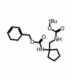 CC(C)(C)OC(=O)NCC1(NC(=O)OCC2=CC=CCC2)CCCC1